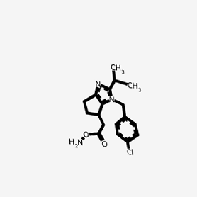 CC(C)c1nc2c(n1Cc1ccc(Cl)cc1)C(CC(=O)ON)CC2